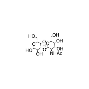 CC(=O)N[C@H]1[C@@H](O[C@H]2[C@@H](O)[C@@H](CO)OC(O)[C@@H]2O)O[C@H](CO)[C@H](O)[C@@H]1O